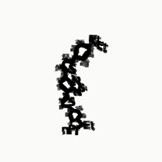 CCCC(CC)c1ccc(-c2ccc(-c3ccc(-c4ccc(-c5ccc(N(CC)CC)cc5)s4)c4nsnc34)s2)cc1